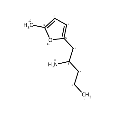 CCCC(N)Cc1ccc(C)o1